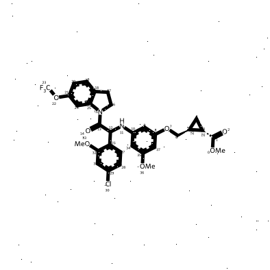 COC(=O)[C@H]1C[C@@H]1COc1cc(NC(C(=O)N2CCc3ccc(OC(F)(F)F)cc32)c2ccc(Cl)cc2OC)cc(OC)c1